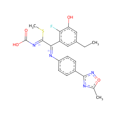 CCc1cc(O)c(F)c(C(=N\c2ccc(-c3noc(C)n3)cc2)/C(=N/C(=O)O)SC)c1